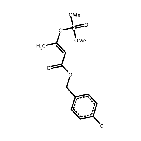 COP(=O)(OC)O/C(C)=C/C(=O)OCc1ccc(Cl)cc1